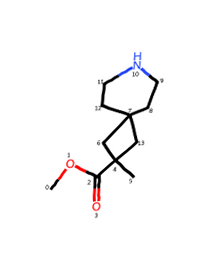 COC(=O)C1(C)CC2(CCNCC2)C1